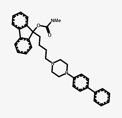 CNC(=O)OC1(CCCCN2CCN(c3ccc(-c4ccccc4)cc3)CC2)c2ccccc2-c2ccccc21